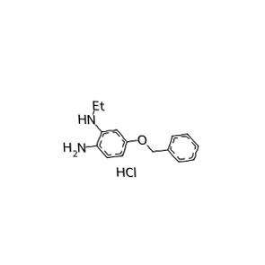 CCNc1cc(OCc2ccccc2)ccc1N.Cl